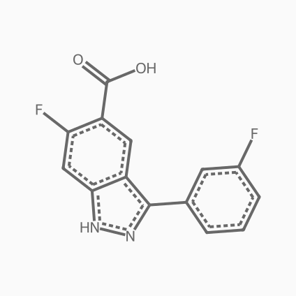 O=C(O)c1cc2c(-c3cccc(F)c3)n[nH]c2cc1F